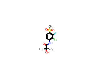 C[C@@](O)(C(=O)Nc1ccc(S(C)(=O)=O)c(F)c1Cl)C(F)(F)F